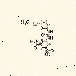 CCC#Cc1cccc(NC(=O)Nc2cc(C(=O)O)cc(C(=O)O)c2)c1